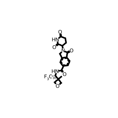 CC1([C@@H](NC(=O)c2ccc3c(c2)CN(C2CCC(=O)NC2=O)C3=O)C(F)(F)F)COC1